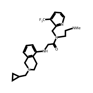 CNCCN(Cc1ncccc1C(F)(F)F)C(=O)CNc1cccc2c1CCN(CC1CC1)C2